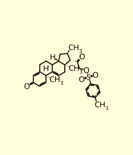 Cc1ccc(S(=O)(=O)OCC(=O)[C@H]2[C@H](C)C[C@H]3[C@@H]4CCC5=CC(=O)C=C[C@]5(C)C4=CC[C@@]32C)cc1